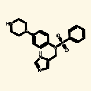 O=S(=O)(c1ccccc1)N(Cc1cnc[nH]1)c1ccc(N2CCNCC2)cc1